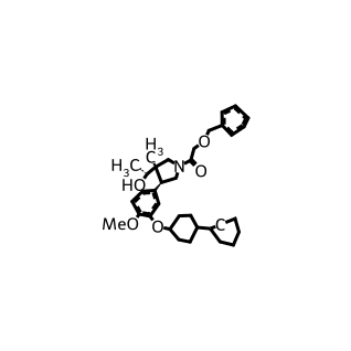 COc1ccc([C@@H]2CN(C(=O)COCc3ccccc3)C[C@@]2(C)[C@@H](C)O)cc1OC1CCC(C2CCCCC2)CC1